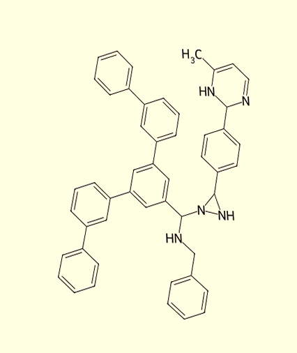 CC1=CC=NC(c2ccc(C3NN3C(NCc3ccccc3)c3cc(-c4cccc(-c5ccccc5)c4)cc(-c4cccc(-c5ccccc5)c4)c3)cc2)N1